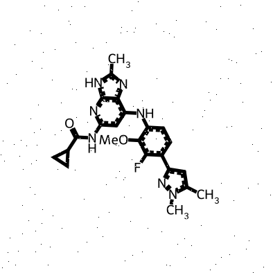 COc1c(Nc2cc(NC(=O)C3CC3)nc3[nH]c(C)nc23)ccc(-c2cc(C)n(C)n2)c1F